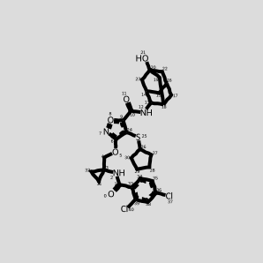 O=C(NC1(COc2noc(C(=O)NC3C4CC5CC3CC(O)(C5)C4)c2SC2CCCC2)CC1)c1ccc(Cl)cc1Cl